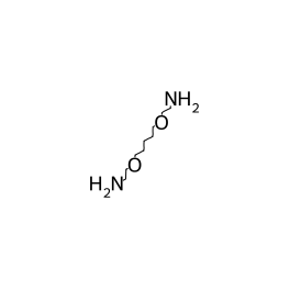 NCCOCCCCCOCCN